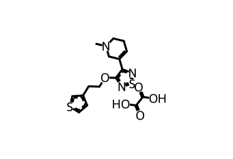 CN1CCC=C(c2nsnc2OCCc2ccsc2)C1.O=C(O)C(=O)O